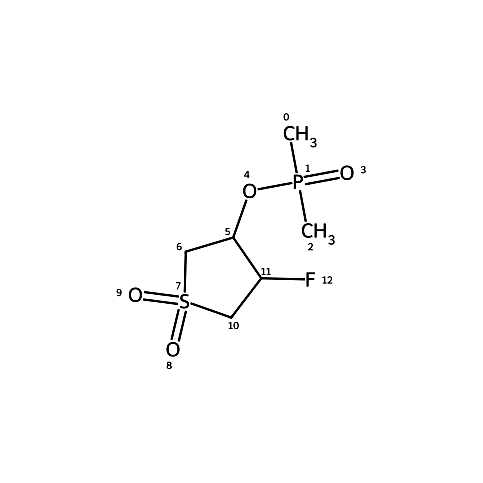 CP(C)(=O)OC1CS(=O)(=O)CC1F